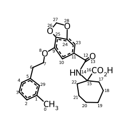 Cc1cccc(CCOc2cc(C(=O)NC3(C(=O)O)CCCCCC3)cc3c2OCO3)c1